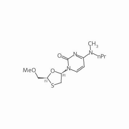 CCCN(C)c1ccn([C@H]2CS[C@@H](COC)O2)c(=O)n1